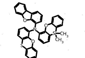 C[Si]1(C)c2ccccc2Oc2c(N(c3cccc4c3Oc3ccccc3S4)c3cccc4c3oc3ccccc34)cccc21